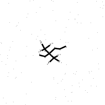 CCCC(CC)(C(F)(F)F)C(F)(F)F